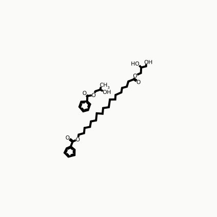 CC(O)COC(=O)c1ccccc1.O=C(CCCCCCCCCCCCCCCCCOC(=O)c1ccccc1)OCC(O)CO